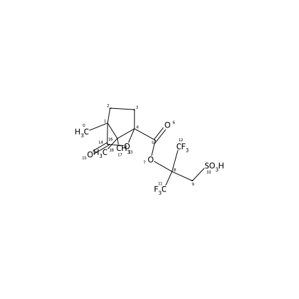 CC12CCC(C(=O)OC(CS(=O)(=O)O)(C(F)(F)F)C(F)(F)F)(OC1=O)C2(C)C